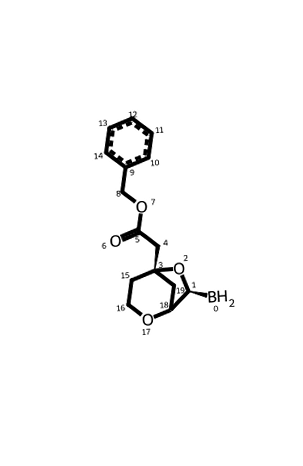 B[C@@H]1O[C@@]2(CC(=O)OCc3ccccc3)CCOC1C2